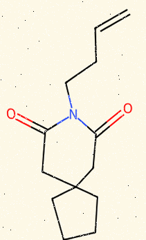 C=CCCN1C(=O)CC2(CCCC2)CC1=O